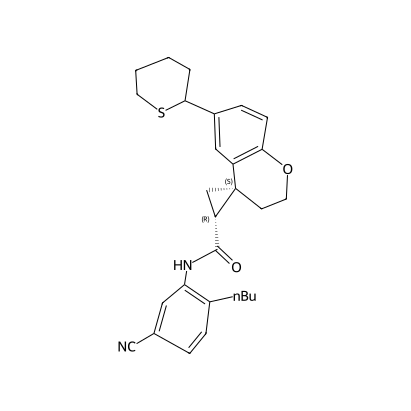 CCCCc1ccc(C#N)cc1NC(=O)[C@@H]1C[C@]12CCOc1ccc(C3CCCCS3)cc12